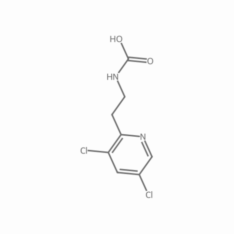 O=C(O)NCCc1ncc(Cl)cc1Cl